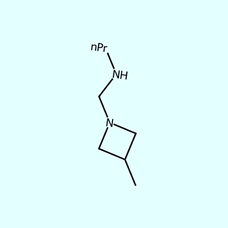 CCCNCN1CC(C)C1